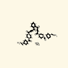 Cl.Cl.NC[C@H]1CC[C@H](C(=O)N2CCN(C(=O)C#CC(=O)c3ccccc3C(=O)C#CC(=O)N3CCN(C(=O)[C@H]4CC[C@H](CN)CC4)CC3)CC2)CC1